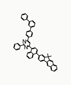 CC1(C)c2cc(-c3ccc(-c4cc(-c5ccc(-c6cccc(-c7ccccc7)c6)cc5)nc(-c5ccccc5)n4)c4ccccc34)ccc2-c2cc3ccccc3cc21